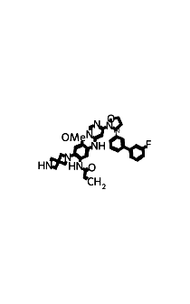 C=CC(=O)Nc1cc(Nc2cc(N3OCC[C@@H]3c3cccc(-c4cccc(F)c4)c3)ncn2)c(OC)cc1N1CC2(CNC2)C1